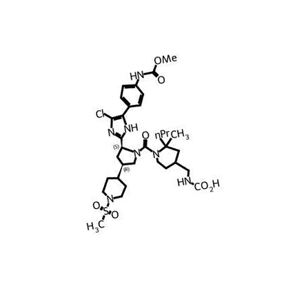 CCCC1(C)CC(CNC(=O)O)CCN1C(=O)N1C[C@@H](C2CCN(S(C)(=O)=O)CC2)C[C@H]1c1nc(Cl)c(-c2ccc(NC(=O)OC)cc2)[nH]1